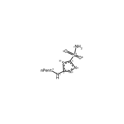 CCCCCNc1nnc(S(N)(=O)=O)s1